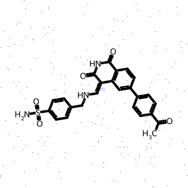 CC(=O)c1ccc(-c2ccc3c(c2)/C(=C/NCc2ccc(S(N)(=O)=O)cc2)C(=O)NC3=O)cc1